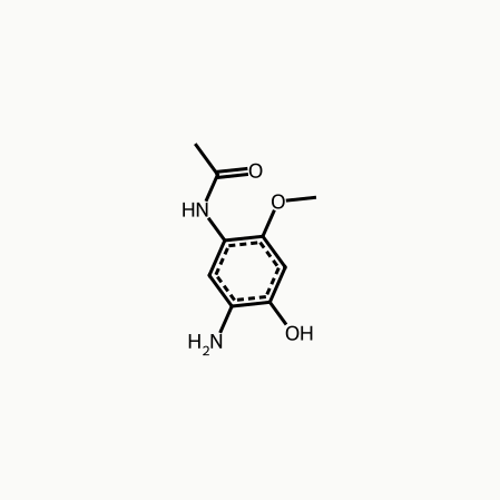 COc1cc(O)c(N)cc1NC(C)=O